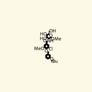 COc1cc(C(=O)N[C@H]2[C@@H](OC)O[C@H](CO)[C@@H](O)[C@@H]2O)cc(Cl)c1OCc1cccc(OC(C)(C)C)c1